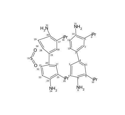 CC(C)c1cc(-c2ccc(N)c(C(C)C)c2)ccc1N.CC(C)c1cc(-c2ccc(N)c(C(C)C)c2)ccc1N.O=S=O